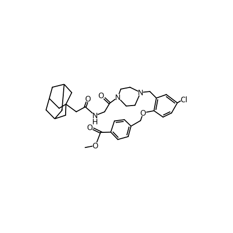 COC(=O)c1ccc(COc2ccc(Cl)cc2CN2CCN(C(=O)CNC(=O)CC34CC5CC(CC(C5)C3)C4)CC2)cc1